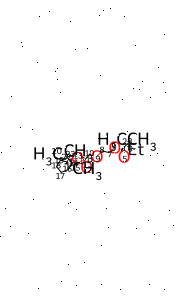 CCC(C)(C)C(=O)OCCOCC(=O)OC1(C)C2CCC(C)(C2)C1C